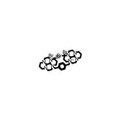 BrC1(Br)CC[N+]2(Cc3ccc(C[N+]45CCN6CCCN7CCN(C4C76)C(Br)(Br)CC5)cc3)CCN3CCCN4CCN1C2C43